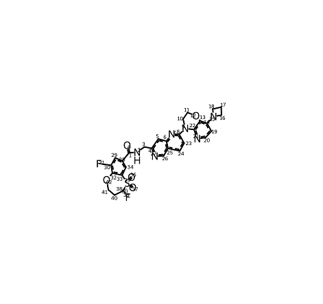 O=C(NCc1cc2nc(N3CCOc4c(N5CCC5)ccnc43)ccc2cn1)c1cc(F)c2c(c1)S(=O)(=O)[C@@H](F)CCO2